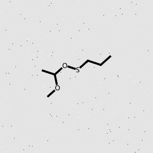 CCCSOC(C)OC